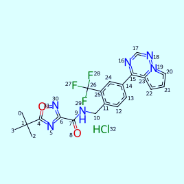 CC(C)(C)c1nc(C(=O)NCc2ccc(-c3ncnn4cccc34)cc2C(F)(F)F)no1.Cl